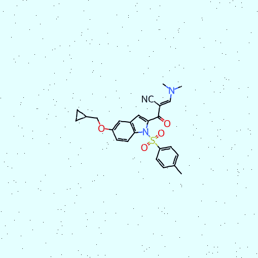 Cc1ccc(S(=O)(=O)n2c(C(=O)C(C#N)=CN(C)C)cc3cc(OCC4CC4)ccc32)cc1